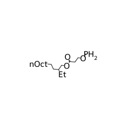 CCCCCCCCCCC(CC)COC(=O)CCOP